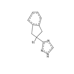 CCC1(c2nc[nH]n2)Cc2ccccc2C1